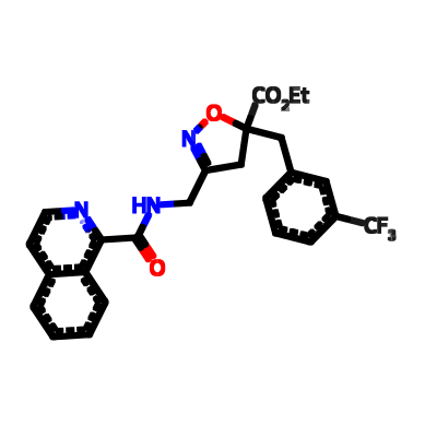 CCOC(=O)C1(Cc2cccc(C(F)(F)F)c2)CC(CNC(=O)c2nccc3ccccc23)=NO1